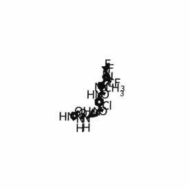 Cn1c(-c2cn(C3CC3(F)F)nc2C(F)(F)F)cnc1C(=O)Nc1ccc(C(=O)N2CC3C(C2)C3NC(=O)NC2CNCC2O)c(Cl)c1